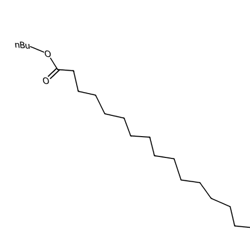 CCCCOC(=O)CCCCCCCCCCCCCCO